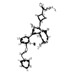 NC(=O)C1CC(c2nc(-c3cccc(OCc4ccccc4)c3)c3c(N)nccn23)C1